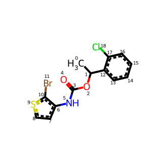 CC(OC(=O)Nc1ccsc1Br)c1ccccc1Cl